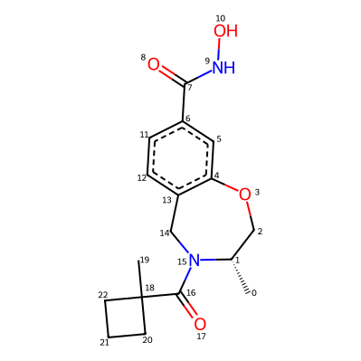 C[C@H]1COc2cc(C(=O)NO)ccc2CN1C(=O)C1(C)CCC1